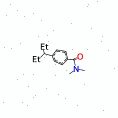 CCC(CC)c1ccc(C(=O)N(C)C)cc1